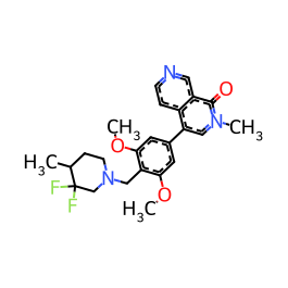 COc1cc(-c2cn(C)c(=O)c3cnccc23)cc(OC)c1CN1CCC(C)C(F)(F)C1